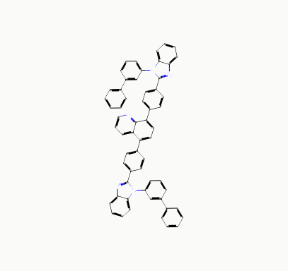 c1ccc(-c2cccc(-n3c(-c4ccc(-c5ccc(-c6ccc(-c7nc8ccccc8n7-c7cccc(-c8ccccc8)c7)cc6)c6ncccc56)cc4)nc4ccccc43)c2)cc1